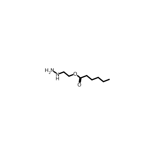 CCCCCC(=O)OCCNN